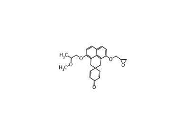 COC(C)COc1ccc2ccc(OCC3CO3)c3c2c1CC1(C=CC(=O)C=C1)C3